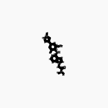 Cc1cc(-c2cnn(C)c2)cc(C(C)C)c1Nc1nccc2c1ccn2CC(=O)N(C)C